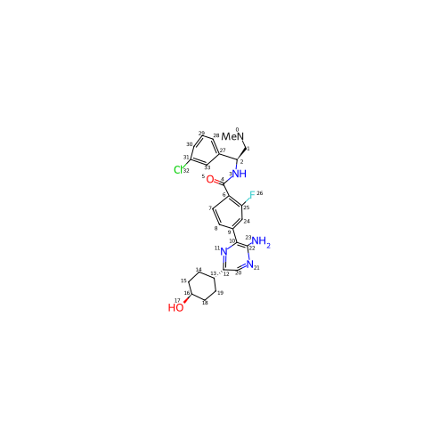 CNC[C@@H](NC(=O)c1ccc(-c2nc([C@H]3CC[C@H](O)CC3)cnc2N)cc1F)c1cccc(Cl)c1